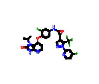 CC(C)n1c(=O)[nH]c2nccc(Oc3ccc(NC4OC4c4cnn(-c5cc(F)ccn5)c4C(F)(F)F)cc3F)c21